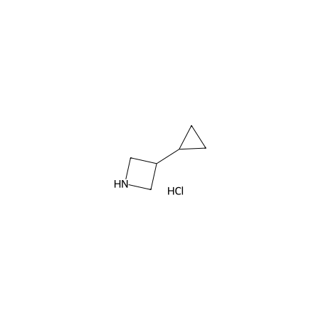 C1CC1C1CNC1.Cl